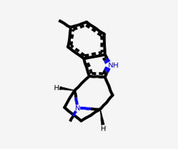 Cc1ccc2[nH]c3c(c2c1)[C@H]1CC[C@@H](C3)N1C